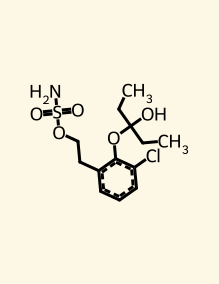 CCC(O)(CC)Oc1c(Cl)cccc1CCOS(N)(=O)=O